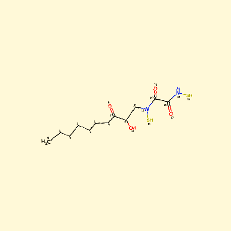 CCCCCCCC(=O)C(O)CN(S)C(=O)C(=O)NS